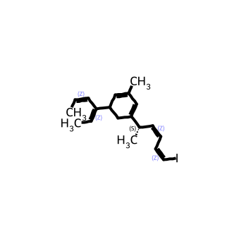 C/C=C\C(=C/C)C1C=C(C)C=C([C@@H](C)/C=C\C=C/I)C1